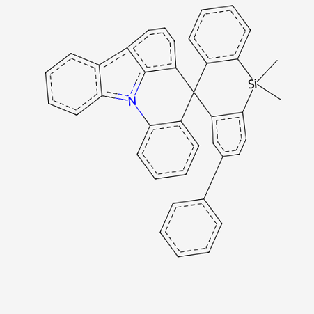 C[Si]1(C)c2ccccc2C2(c3ccccc3-n3c4ccccc4c4cccc2c43)c2cc(-c3ccccc3)ccc21